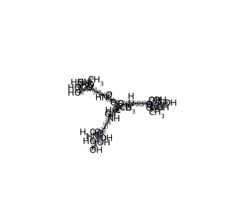 CC(=O)N/C(=C(/O)[C@@H](O)CCO)[C@@H](O)OCCCCCCNC(=O)CCOCC(COCCC(=O)NCCCCCCO[C@@H]1CC(CO)[C@H](O)C(O)C1NC(C)=O)(OCCC(=O)NCCCCCCO[C@H](O)/C(NC(C)=O)=C(\O)[C@@H](O)CCO)C(C)C